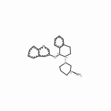 N[C@H]1CCCN([C@H]2CCc3ccccc3[C@@H]2Oc2cnc3ccccc3c2)C1